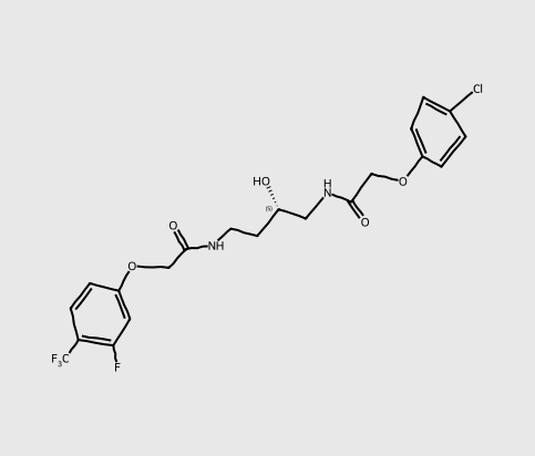 O=C(COc1ccc(C(F)(F)F)c(F)c1)NCC[C@H](O)CNC(=O)COc1ccc(Cl)cc1